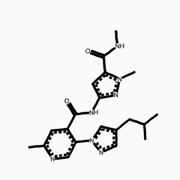 CNC(=O)c1cc(NC(=O)c2cc(C)ncc2-n2cc(CC(C)C)cn2)nn1C